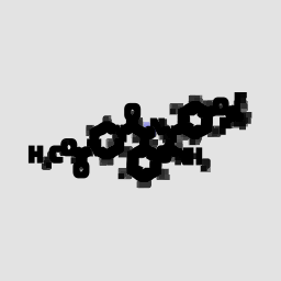 COC(=O)N1CCN(C(=O)/C(=N/N(C(N)=O)c2ccc(OC(F)(F)F)cc2)c2ccccc2)CC1